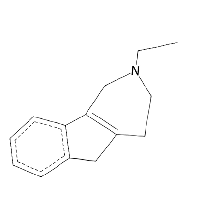 CCN1CCC2=C(C1)c1ccccc1C2